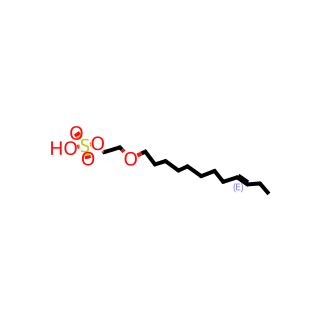 CC/C=C/CCCCCCCCOCCOS(=O)(=O)O